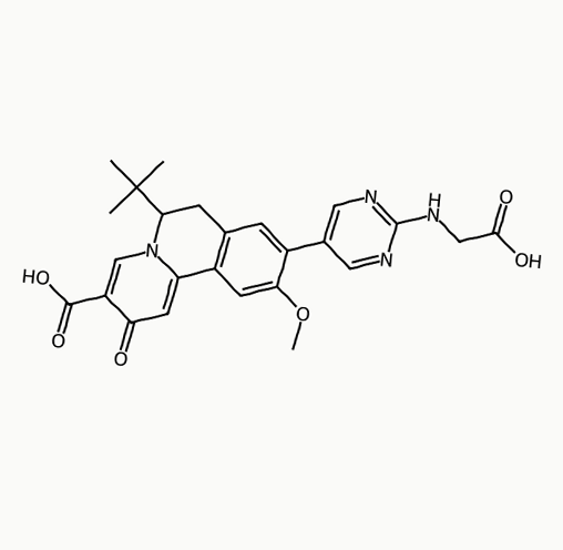 COc1cc2c(cc1-c1cnc(NCC(=O)O)nc1)CC(C(C)(C)C)n1cc(C(=O)O)c(=O)cc1-2